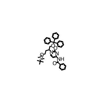 CC(C)(C)[Si](C)(C)OCCC(COC(c1ccccc1)(c1ccccc1)c1ccccc1)n1ccc(NC(=O)c2ccccc2)nc1=O